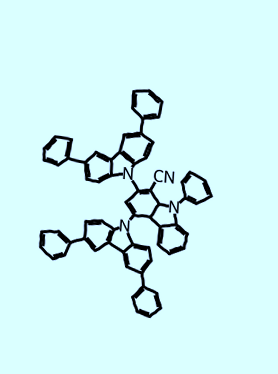 N#CC1=C(n2c3ccc(-c4ccccc4)cc3c3cc(-c4ccccc4)ccc32)C=C(n2c3ccc(-c4ccccc4)cc3c3cc(-c4ccccc4)ccc32)C2c3ccccc3N(c3ccccc3)C12